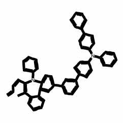 C=C/C=C\C1=C(C)c2ccccc2-c2cc(-c3cccc(-c4ccc(N(c5ccccc5)c5ccc(-c6ccccc6)cc5)cc4)c3)ccc2N1c1ccccc1